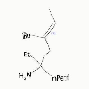 C/C=C(/CC(N)(CC)CCCCC)C(C)CC